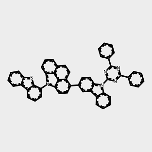 c1ccc(-c2nc(-c3ccccc3)nc(-n3c4ccccc4c4cc(-c5ccc6c7c5ccc5cccc(c57)n6-c5cccc6c5sc5ccccc56)ccc43)n2)cc1